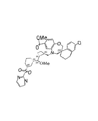 COC(=O)c1ccc2c(c1)N(C[C@@H]1CC[C@H]1[C@@H](OC)[C@H]1CCC[C@@H](S(=O)(=O)c3ncccn3)C1)C[C@@]1(CCCc3cc(Cl)ccc31)CO2